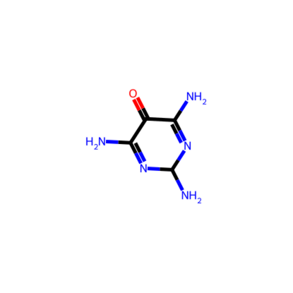 NC1=NC(N)N=C(N)C1=O